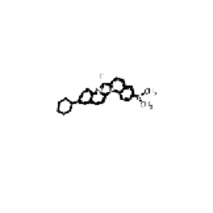 CN(C)c1ccc2c(ccc3c[n+]4c5ccc(C6CCCCC6)cc5ccc4n32)c1.[I-]